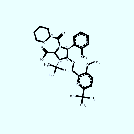 COc1ccc(C(C)(C)C)nc1CO[C@H]1[C@H](C(C)(C)C)[C@@H](C(=O)O)N(C(=O)[C@@H]2CCCCO2)[C@H]1c1ccccc1C